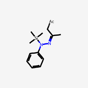 CC(=O)CC(C)=NN(c1ccccc1)[Si](C)(C)C